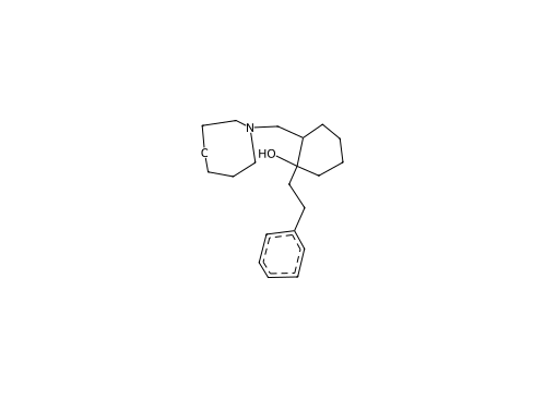 OC1(CCc2ccccc2)CCCCC1CN1CCCCCC1